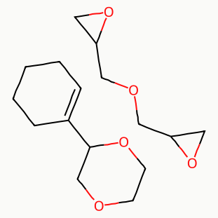 C(OCC1CO1)C1CO1.C1=C(C2COCCO2)CCCC1